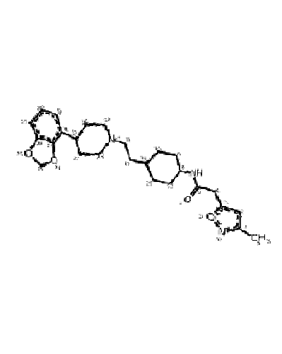 Cc1cc(CC(=O)NC2CCC(CCN3CCC(c4cccc5c4OCO5)CC3)CC2)on1